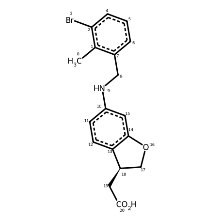 Cc1c(Br)cccc1CNc1ccc2c(c1)OC[C@H]2CC(=O)O